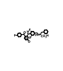 O=C(c1ccc(F)cc1)c1ccc(=O)[nH]c1Nc1c(F)cc(CN[C@@H](Cc2ccccc2)C(=O)O)cc1F